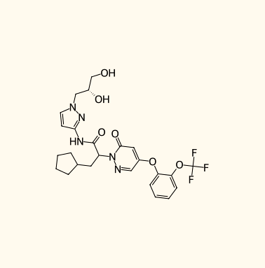 O=C(Nc1ccn(C[C@@H](O)CO)n1)C(CC1CCCC1)n1ncc(Oc2ccccc2OC(F)(F)F)cc1=O